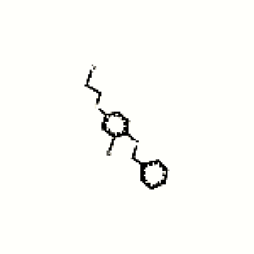 BrCCOc1ccc(OCc2ccccc2)c(Br)c1